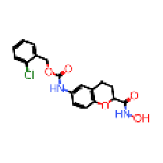 O=C(Nc1ccc2c(c1)CCC(C(=O)NO)O2)OCc1ccccc1Cl